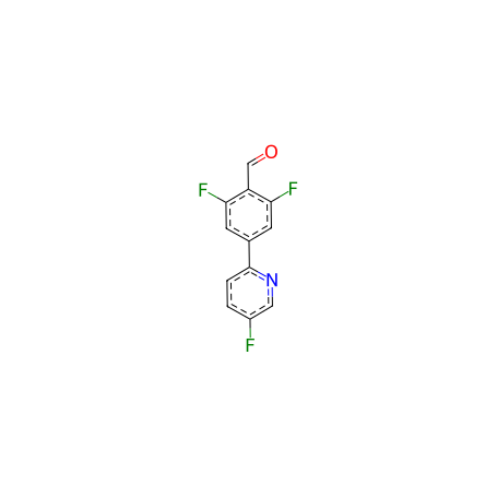 O=Cc1c(F)cc(-c2ccc(F)cn2)cc1F